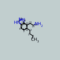 CCCCc1ccc2[nH]nnc2c1CCN